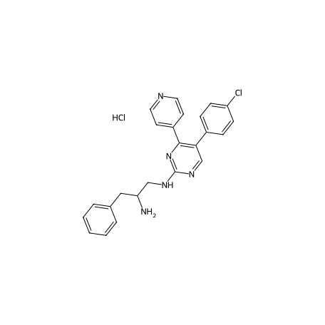 Cl.NC(CNc1ncc(-c2ccc(Cl)cc2)c(-c2ccncc2)n1)Cc1ccccc1